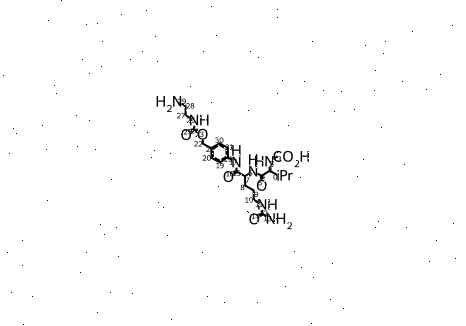 CC(C)C(NC(=O)O)C(=O)NC(CCCNC(N)=O)C(=O)Nc1ccc(COC(=O)NCCN)cc1